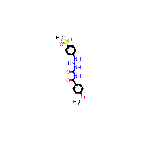 COc1ccc(C(=O)NC(=O)NNNc2ccc(S(C)(=O)=O)cc2)cc1